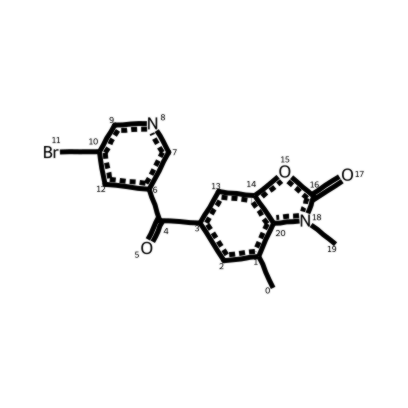 Cc1cc(C(=O)c2cncc(Br)c2)cc2oc(=O)n(C)c12